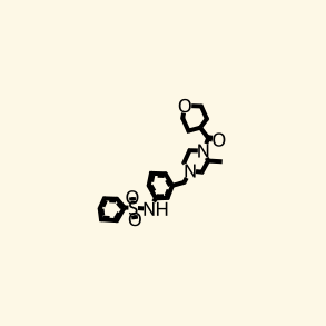 CC1CN(Cc2cccc(NS(=O)(=O)c3ccccc3)c2)CCN1C(=O)C1CCOCC1